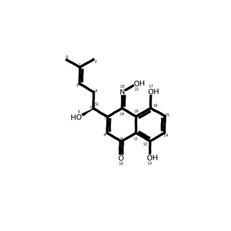 CC(C)=CC[C@H](O)C1=CC(=O)c2c(O)ccc(O)c2C1=NO